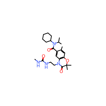 CNC(=O)NCCN1C(=O)C(C)(C)Oc2cc(C)c(C(=O)N(C(C)C)C3CCCCC3)cc21